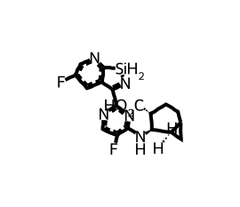 O=C(O)[C@@H]1CC[C@H]2C[C@H]2[C@H]1Nc1nc(C2=N[SiH2]c3ncc(F)cc32)ncc1F